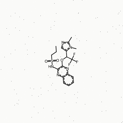 CCCS(=O)(=O)Nc1nc2ccccc2nc1OC(c1cnc(C)n1C)C(F)(F)F